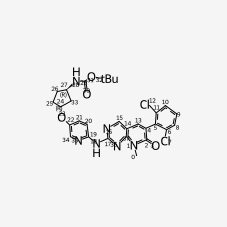 Cn1c(=O)c(-c2c(Cl)cccc2Cl)cc2cnc(Nc3ccc(O[C@@H]4CC[C@@H](NC(=O)OC(C)(C)C)C4)cn3)nc21